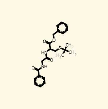 CC(C)(C)SCC(NC(=O)CNC(=O)c1ccccc1)C(=O)OCc1ccccc1